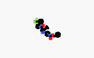 O=C(OCc1ccccc1)N1CCC(n2ncc(C(=O)N3CCCC3c3ccccc3C(F)(F)F)c2C2CC2)CC1